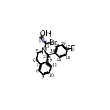 O/N=C(\Br)N1CCc2ccccc2[C@@H]1c1ccc(F)cc1